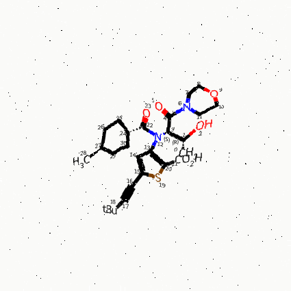 C[C@@H](O)[C@@H](C(=O)N1CCOCC1)N(c1cc(C#CC(C)(C)C)sc1C(=O)O)C(=O)[C@H]1CC[C@H](C)CC1